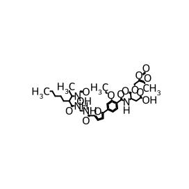 CCCCCC(C(=O)NCNC(=O)c1ccc(-c2ccc(C(=O)NC(CC(=O)O)C(=O)OCc3oc(=O)oc3C)c(OCC)c2)o1)C(CC)N(O)C=O